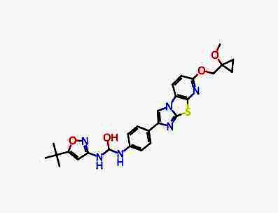 COC1(COc2ccc3c(n2)sc2nc(-c4ccc(NC(O)Nc5cc(C(C)(C)C)on5)cc4)cn23)CC1